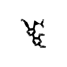 COc1ncc(-c2cc(C3C[C@@H]3C(F)F)c(C#CC(C)C)nn2)c(OC)n1